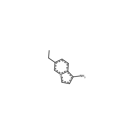 CCc1ccc2c(N)ccn2c1